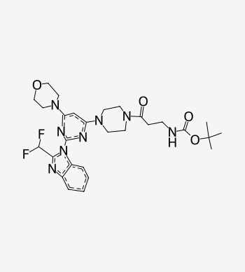 CC(C)(C)OC(=O)NCCC(=O)N1CCN(c2cc(N3CCOCC3)nc(-n3c(C(F)F)nc4ccccc43)n2)CC1